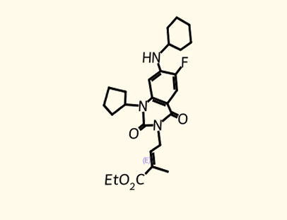 CCOC(=O)/C(C)=C/Cn1c(=O)c2cc(F)c(NC3CCCCC3)cc2n(C2CCCC2)c1=O